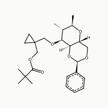 C[C@H]1[C@H](OCC2(COC(=O)C(C)(C)C)CC2)[C@@H]2O[C@H](c3ccccc3)OC[C@H]2O[C@@H]1C